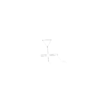 CN=S(C)(=O)C1CC1